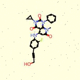 Cn1c(=O)cc(Nc2ccc(C#CCO)cc2F)c2c(=O)n(C3CC3)c(=O)n(-c3ccccc3)c21